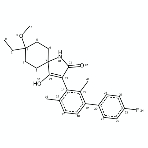 CCC1(OC)CCC2(CC1)NC(=O)C(c1c(C)ccc(-c3ccc(F)cc3)c1C)=C2O